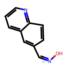 O/N=C\c1ccc2nc[c]cc2c1